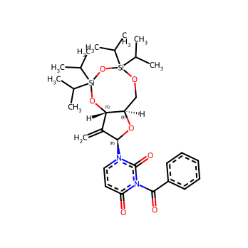 C=C1[C@H](n2ccc(=O)n(C(=O)c3ccccc3)c2=O)O[C@@H]2CO[Si](C(C)C)(C(C)C)O[Si](C(C)C)(C(C)C)O[C@@H]12